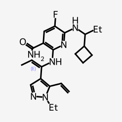 C=Cc1c(/C(=C\C)Nc2nc(NC(CC)C3CCC3)c(F)cc2C(N)=O)cnn1CC